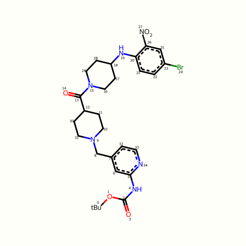 CC(C)(C)OC(=O)Nc1cc(CN2CCC(C(=O)N3CCC(Nc4ccc(Br)cc4[N+](=O)[O-])CC3)CC2)ccn1